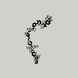 Cc1ccc(NC(=O)C2(c3ccc4c(c3)OC(F)(F)O4)CC2)nc1-c1cccc(C(=O)NCCn2cc(CCN3CCC(C(O)Nc4nc5ccc(NS(=O)(=O)c6cccs6)nc5s4)CC3)cn2)c1